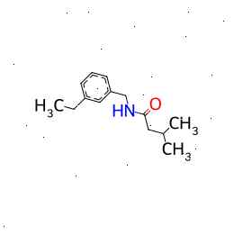 CCc1cccc(CNC(=O)CC(C)C)c1